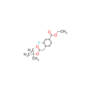 CCOC(=O)c1ccc(CC(=O)OC(C)(C)C)c(F)c1